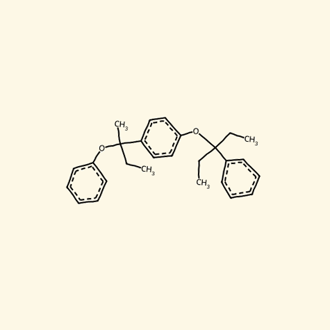 CCC(C)(Oc1ccccc1)c1ccc(OC(CC)(CC)c2ccccc2)cc1